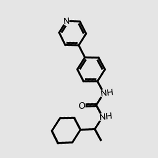 CC(NC(=O)Nc1ccc(-c2ccncc2)cc1)C1CCCCC1